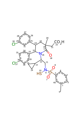 Cc1cccc(S(=O)(=O)N(S)CC(C2CC2)N2C(=O)C(C)(CC(=O)O)CC(c3cccc(Cl)c3)C2c2ccc(Cl)cc2)c1